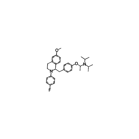 COc1ccc2c(c1)CCN(c1ccc(F)cc1)C2Cc1ccc(OC(C)N(C(C)C)C(C)C)cc1